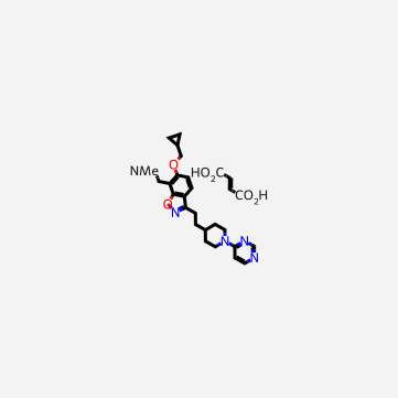 CNCc1c(OCC2CC2)ccc2c(CCC3CCN(c4ccncn4)CC3)noc12.O=C(O)C=CC(=O)O